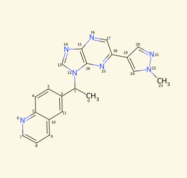 CC(c1ccc2ncccc2c1)n1cnc2ncc(-c3cnn(C)c3)nc21